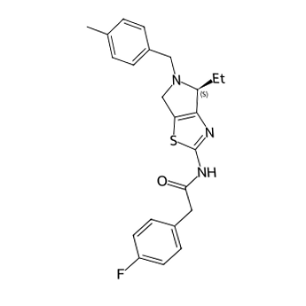 CC[C@H]1c2nc(NC(=O)Cc3ccc(F)cc3)sc2CN1Cc1ccc(C)cc1